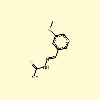 COc1cncc(C=NNC(=O)O)c1